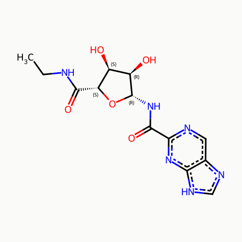 CCNC(=O)[C@H]1O[C@@H](NC(=O)c2ncc3nc[nH]c3n2)[C@H](O)[C@@H]1O